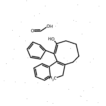 CCC1=C(c2ccccc2)C(c2ccccc2)=C(O)CCCC1.O=CO